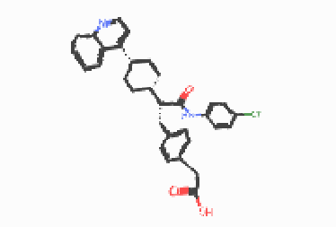 O=C(O)Cc1ccc(C[C@@H](C(=O)Nc2ccc(Cl)cc2)[C@H]2CC[C@@H](c3ccnc4ccccc43)CC2)cc1